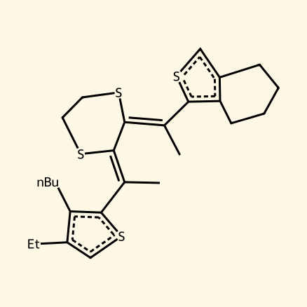 CCCCc1c(CC)csc1/C(C)=C1\SCCS\C1=C(\C)c1scc2c1CCCC2